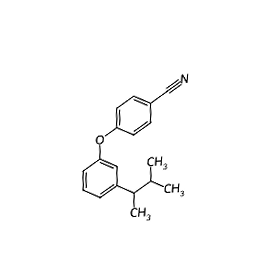 CC(C)C(C)c1cccc(Oc2ccc(C#N)cc2)c1